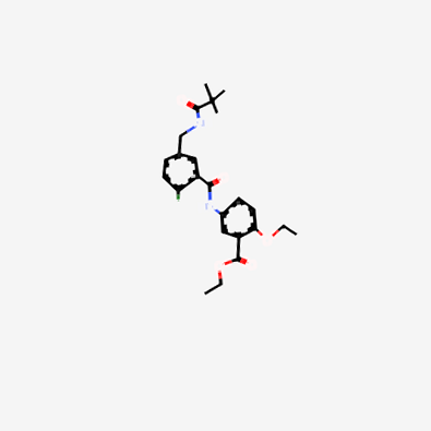 CCOC(=O)c1cc(NC(=O)c2cc(CNC(=O)C(C)(C)C)ccc2Cl)ccc1OCC